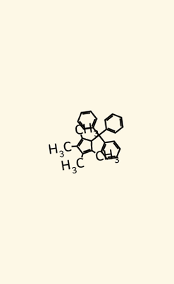 CC1=C(C)C(C(c2ccccc2)(c2ccccc2)c2ccccc2)C(C)=C1C